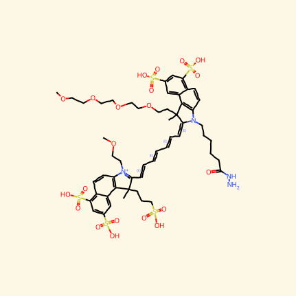 COCCOCCOCCOCCC1(C)\C(=C/C=C/C=C/C=C/C2=[N+](CCOC)c3ccc4c(S(=O)(=O)O)cc(S(=O)(=O)O)cc4c3C2(C)CCCS(=O)(=O)O)N(CCCCCC(=O)NN)c2ccc3c(S(=O)(=O)O)cc(S(=O)(=O)O)cc3c21